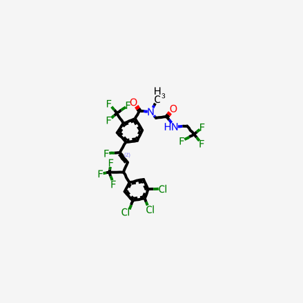 CN(CC(=O)NCC(F)(F)F)C(=O)c1ccc(/C(F)=C/C(c2cc(Cl)c(Cl)c(Cl)c2)C(F)(F)F)cc1C(F)(F)F